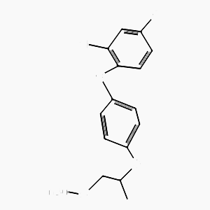 CCCCOCC(C)Oc1ccc(Oc2ccc(Cl)cc2Cl)cc1